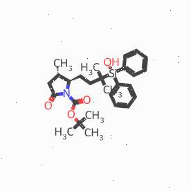 C[C@H]1CC(=O)N(C(=O)OC(C)(C)C)[C@@H]1CCC(C)(C)[Si](O)(c1ccccc1)c1ccccc1